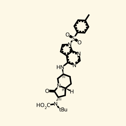 Cc1ccc(S(=O)(=O)n2ccc3c(N[C@H]4CC[C@@H]5C[C@H](N(C(=O)O)C(C)(C)C)C(=O)N5C4)ncnc32)cc1